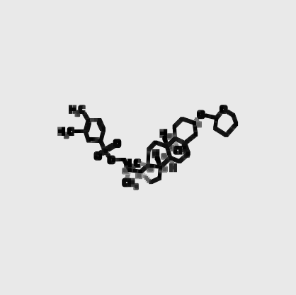 Cc1ccc(S(=O)(=O)OC[C@@H](C)[C@H]2CC[C@H]3[C@@H]4CC=C5C[C@@H](OC6CCCCO6)CC[C@]5(C)[C@H]4CC[C@]23C)cc1C